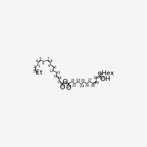 CC/C=C\C/C=C\C/C=C\CCCCCCCC(=O)OC(=O)CCCCCCC/C=C\C[C@H](O)CCCCCC